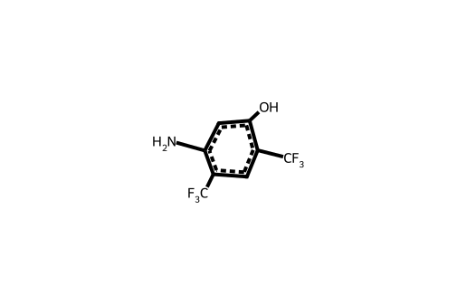 Nc1cc(O)c(C(F)(F)F)cc1C(F)(F)F